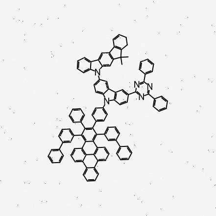 CC1(C)C2=C(C=CCC2)c2cc3c4ccccc4n(-c4ccc5c(c4)c4cc(-c6nc(-c7ccccc7)nc(-c7ccccc7)n6)ccc4n5-c4ccc(-c5c(-c6ccccc6)c(-c6cccc(-c7ccccc7)c6)c6c7cccc8c9ccccc9c9cccc(c6c5-c5cccc(-c6ccccc6)c5)c9c87)cc4)c3cc21